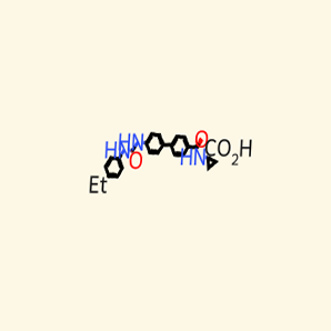 CCc1ccc(NC(=O)Nc2ccc(-c3ccc(C(=O)NC4(C(=O)O)CC4)cc3)cc2)cc1